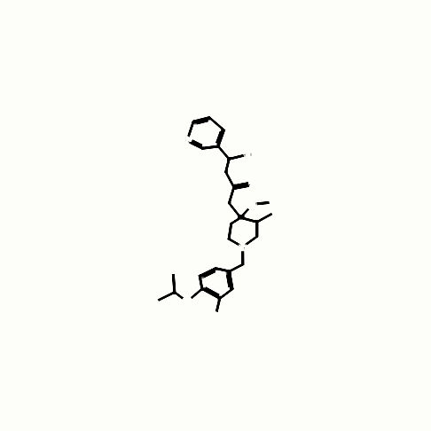 COC1(CC(=O)CC(O)c2cccnc2)CCN(Cc2ccc(OC(C)C)c(C)c2)CC1C